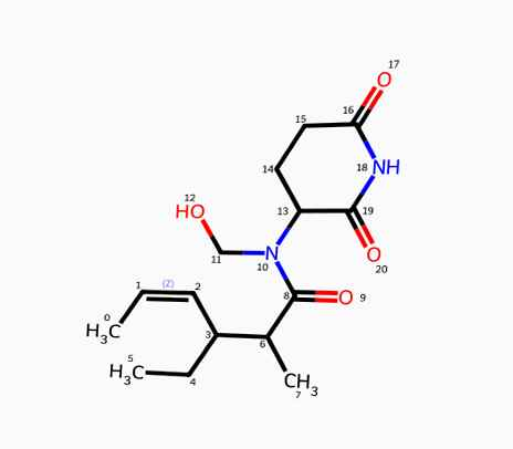 C/C=C\C(CC)C(C)C(=O)N(CO)C1CCC(=O)NC1=O